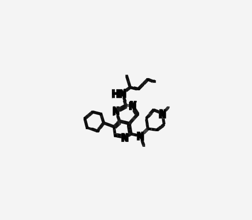 CCCC(C)Nc1ncc2c(N(C)C3CCN(C)CC3)ncc(C3CCCCC3)c2n1